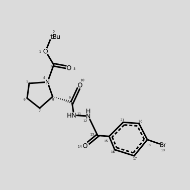 CC(C)(C)OC(=O)N1CCC[C@H]1C(=O)NNC(=O)c1ccc(Br)cc1